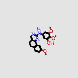 COc1ccc2c(c1)-c1nc(Nc3cc(O)c(OC)c(OC)c3)ncc1CC2